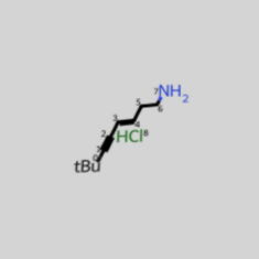 CC(C)(C)C#CC=CCCN.Cl